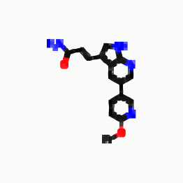 CC(C)Oc1ccc(-c2cnc3[nH]cc(C=CC(N)=O)c3c2)cn1